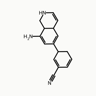 N#CC1=CC(C2=CC3C=CNCC3C(N)=C2)CC=C1